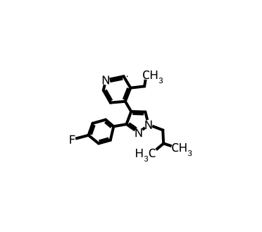 CCc1[c]nccc1-c1cn(CC(C)C)nc1-c1ccc(F)cc1